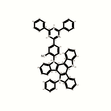 N#Cc1cc(-c2nc(-c3ccccc3)nc(-c3ccccc3)n2)ccc1-n1c2ccccc2c2c3c(c4ccccc4n3-c3ccccc3)c3oc4ccccc4c3c21